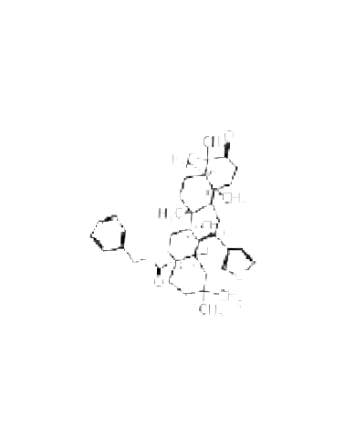 CC1(C)CC[C@]2(C(=O)OCc3ccccc3)CC[C@]3(C)C(=C(c4ccoc4)CC4[C@@]5(C)CCC(=O)C(C)(C)[C@@H]5CC[C@]43C)[C@@H]2C1